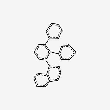 c1cncc(-c2cccc(-c3cccc4ccccc34)c2-c2cccnc2)c1